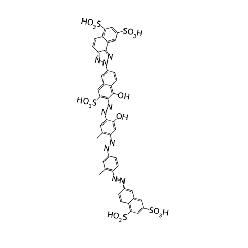 Cc1cc(N=Nc2cc(O)c(N=Nc3c(S(=O)(=O)O)cc4cc(-n5nc6ccc7c(S(=O)(=O)O)cc(S(=O)(=O)O)cc7c6n5)ccc4c3O)cc2C)ccc1N=Nc1ccc2c(S(=O)(=O)O)cc(S(=O)(=O)O)cc2c1